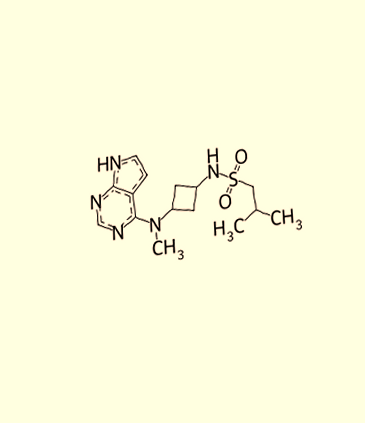 CC(C)CS(=O)(=O)NC1CC(N(C)c2ncnc3[nH]ccc23)C1